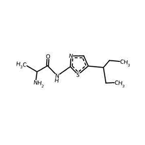 CCC(CC)c1cnc(NC(=O)C(C)N)s1